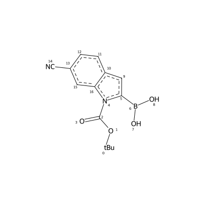 CC(C)(C)OC(=O)n1c(B(O)O)cc2ccc(C#N)cc21